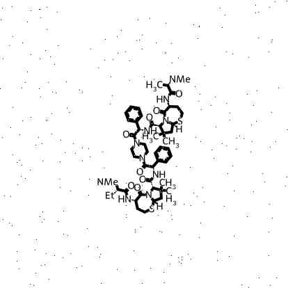 CC[C@H](NC)C(=O)N[C@H]1CCS[C@H]2CC(C)(C)[C@@H](C(=O)N[C@H](C(=O)N3CCN(C(=O)[C@@H](NC(=O)[C@H]4N5C(=O)[C@@H](NC(=O)[C@H](C)NC)CCS[C@H]5CC4(C)C)c4ccccc4)CC3)c3ccccc3)N2C1=O